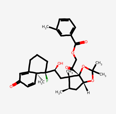 Cc1cccc(C(=O)OCC(=O)[C@@]23OC(C)(C)O[C@@H]2C[C@@H](C)[C@]3(C)C[C@H](O)[C@@]2(F)CCCC3=CC(=O)C=C[C@@]32C)c1